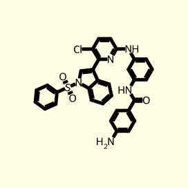 Nc1ccc(C(=O)Nc2cccc(Nc3ccc(Cl)c(-c4cn(S(=O)(=O)c5ccccc5)c5ccccc45)n3)c2)cc1